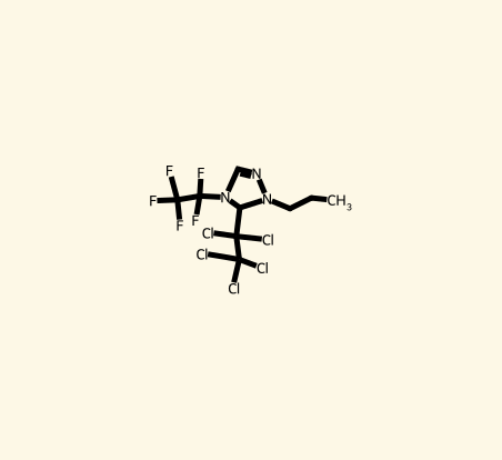 CCCN1N=CN(C(F)(F)C(F)(F)F)C1C(Cl)(Cl)C(Cl)(Cl)Cl